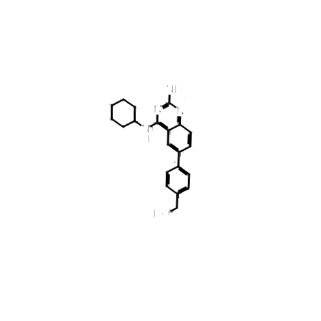 Nc1nc(NC2CCCCC2)c2cc(-c3ccc(CO)cc3)ccc2n1